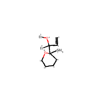 [CH2]CC(C=C)(OCC)C1([SiH3])CCCCO1